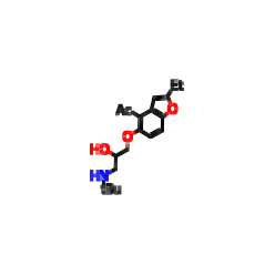 CCc1cc2c(C(C)=O)c(OCC(O)CNC(C)(C)C)ccc2o1